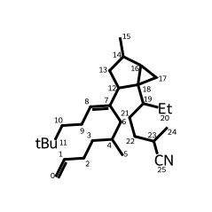 C=CCCC(C)C/C(=C\CCC(C)(C)C)C1CC(C)C2CC12C(CC)CCC(C)C#N